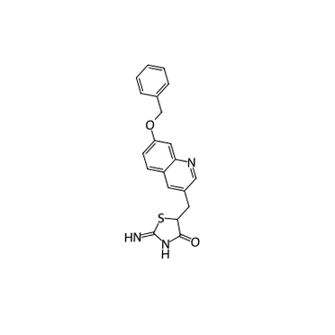 N=C1NC(=O)C(Cc2cnc3cc(OCc4ccccc4)ccc3c2)S1